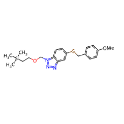 COc1ccc(CSc2ccc3c(c2)nnn3COCC[Si](C)(C)C)cc1